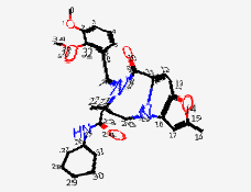 COc1cccc(CN2C(=O)c3cc4oc(C)cc4n3CC2(C)C(=O)NC2CCCCC2)c1OC